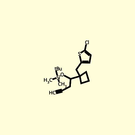 C#CCC(O[Si](C)(C)C(C)(C)C)C1(Cc2ccc(Cl)s2)CCC1